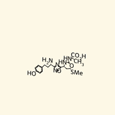 CSCC[C@H](NC(=O)N[C@@H](C)C(=O)O)c1nc([C@@H](N)CCc2ccc(O)cc2)no1